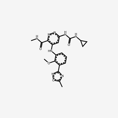 CNC(=O)c1nnc(NC(=O)NC2CC2)cc1Nc1cccc(-c2noc(C)n2)c1OC